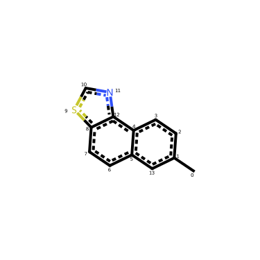 Cc1ccc2c(ccc3scnc32)c1